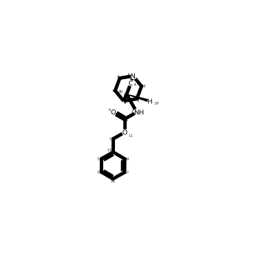 O=C(N[C@H]1CN2CCC1CC2)OCc1ccccc1